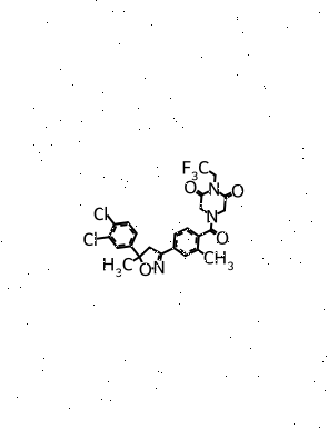 Cc1cc(C2=NOC(C)(c3ccc(Cl)c(Cl)c3)C2)ccc1C(=O)N1CC(=O)N(CC(F)(F)F)C(=O)C1